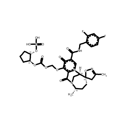 CC1=NO[C@@]2(CC[C@H](C)N3C[C@H]2n2cc(C(=O)NCc4ccc(F)cc4F)c(=O)c(OCOC(=O)O[C@H]4CCC[C@@H]4OP(=O)(O)O)c2C3=O)C1